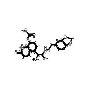 CCC(NCCc1ccc2c(c1)OCO2)C(O)c1ccc(OC(=O)C(C)(C)C)c2[nH]c(=O)ccc12